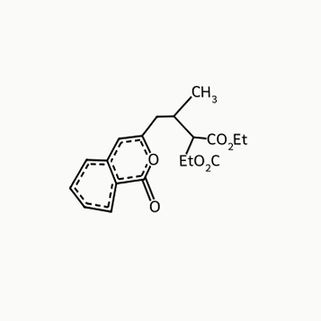 CCOC(=O)C(C(=O)OCC)C(C)Cc1cc2ccccc2c(=O)o1